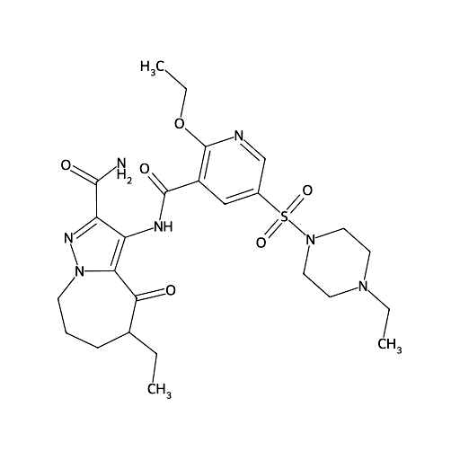 CCOc1ncc(S(=O)(=O)N2CCN(CC)CC2)cc1C(=O)Nc1c(C(N)=O)nn2c1C(=O)C(CC)CCC2